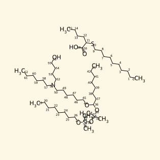 CCCCCCCCCCSC(CCCC)C(=O)O.CCCCCCCCO[Si](C)(C)O[Si](C)(C)OC(CCCCCCC)OCCCCCCN(CCCCO)CCCCCC